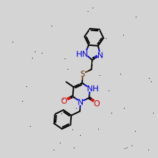 Cc1c(SCc2nc3ccccc3[nH]2)[nH]c(=O)n(Cc2ccccc2)c1=O